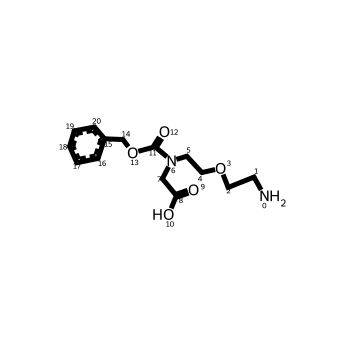 NCCOCCN(CC(=O)O)C(=O)OCc1ccccc1